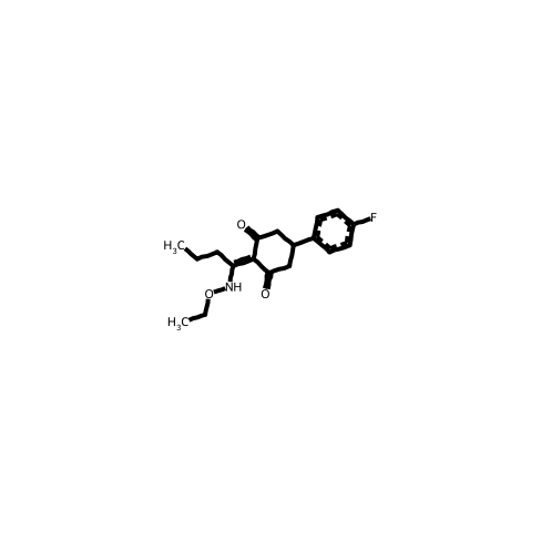 CCCC(NOCC)=C1C(=O)CC(c2ccc(F)cc2)CC1=O